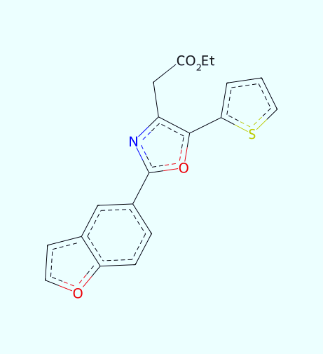 CCOC(=O)Cc1nc(-c2ccc3occc3c2)oc1-c1cccs1